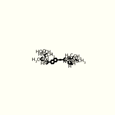 COC(=O)NC(C(=O)N1[C@@H]2C[C@@H]2C[C@H]1c1nc(C#Cc2ccc3cc(-c4c[nH]c([C@@H]5C[C@H](C)CN5C(=O)C(NC(=O)O)C(C)C)n4)ccc3c2)c[nH]1)C(C)C